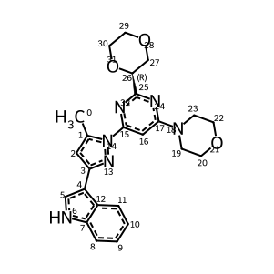 Cc1cc(-c2c[nH]c3ccccc23)nn1-c1cc(N2CCOCC2)nc([C@@H]2COCCO2)n1